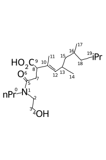 CCCN(CCO)C(=O)CC(C(=O)O)/C(C)=C/C(C)CC(C)CC(C)C